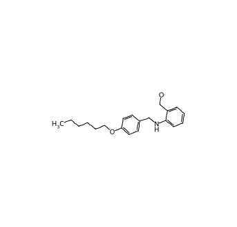 CCCCCCOc1ccc(CNc2ccccc2C[O])cc1